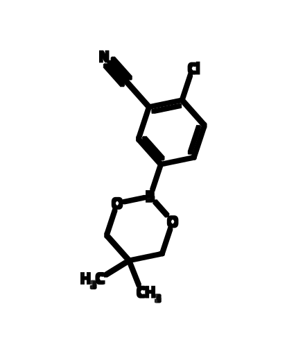 CC1(C)COB(c2ccc(Cl)c(C#N)c2)OC1